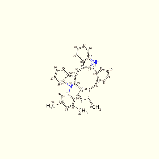 C=C/C=C\c1ccc2ccccc2c2[nH]c3ccccc3c2cc2c3ccccc3n(-c3cc(C)cc(C)c3)c12